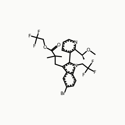 CO[C@@H](C)c1ncccc1-c1c(CC(C)(C)C(=O)OCC(F)(F)F)c2cc(Br)ccc2n1CC(F)(F)F